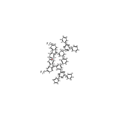 FC(F)(F)c1ccc2c(c1)c1ccccc1n2-c1cc(-c2cccc(-c3cc(-c4nc(-c5ccccc5)nc(-c5ccccc5)n4)cc(-n4c5ccccc5c5cc(C(F)(F)F)ccc54)c3)c2)cc(-c2nc(-c3ccccc3)nc(-c3ccccc3)n2)c1